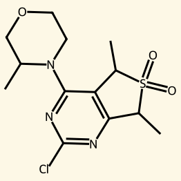 CC1COCCN1c1nc(Cl)nc2c1C(C)S(=O)(=O)C2C